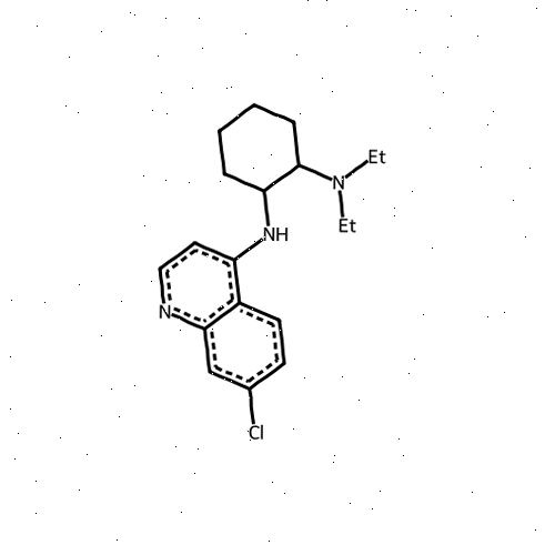 CCN(CC)C1CCCCC1Nc1ccnc2cc(Cl)ccc12